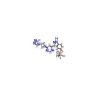 CC1(Oc2ccc3[nH]nc(-c4cc(N5CC(n6cnnc6)C5)ncn4)c3c2)CC1